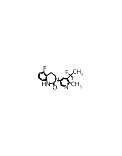 Cc1ncc(N2CCc3c(F)cccc3NC2=O)cc1C(C)(F)F